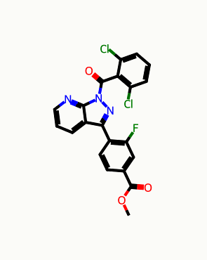 COC(=O)c1ccc(-c2nn(C(=O)c3c(Cl)cccc3Cl)c3ncccc23)c(F)c1